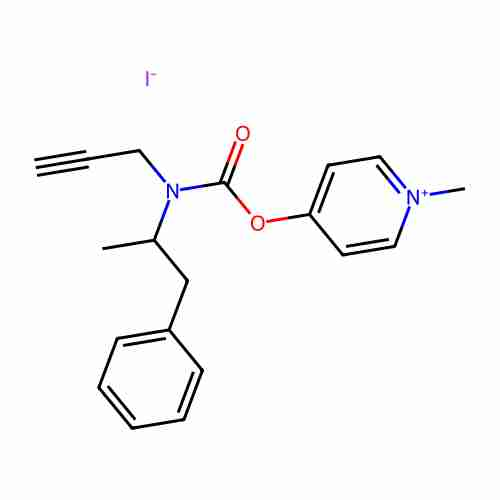 C#CCN(C(=O)Oc1cc[n+](C)cc1)C(C)Cc1ccccc1.[I-]